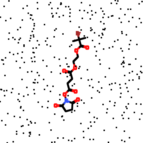 CC(C)(Br)C(=O)OCCOC(=O)CCC(=O)ON1C(=O)CCC1=O